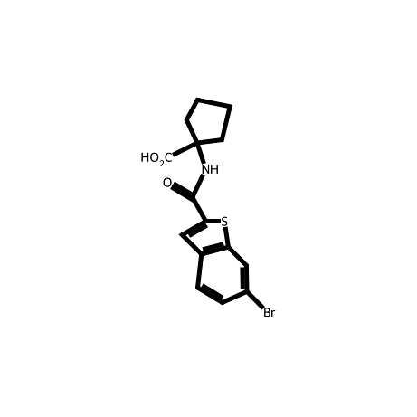 O=C(NC1(C(=O)O)CCCC1)c1cc2ccc(Br)cc2s1